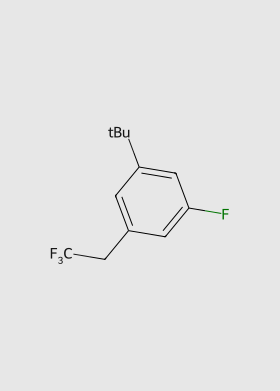 CC(C)(C)c1cc(F)cc(CC(F)(F)F)c1